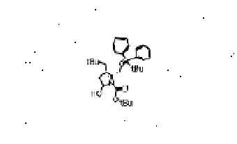 CC(C)(C)C[C@@H]1CC(O)N(C(=O)OC(C)(C)C)[C@H]1CO[Si](c1ccccc1)(c1ccccc1)C(C)(C)C